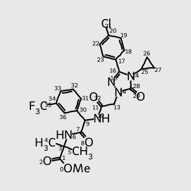 COC(=O)C(C)(C)NC(=O)C(NC(=O)Cn1nc(-c2ccc(Cl)cc2)n(C2CC2)c1=O)c1cccc(C(F)(F)F)c1